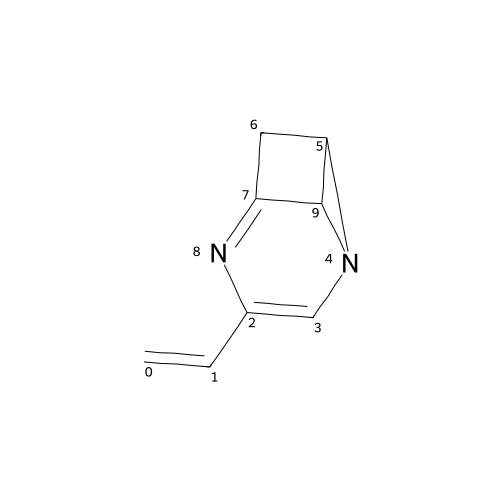 C=CC1=CN2C3CC(=N1)C32